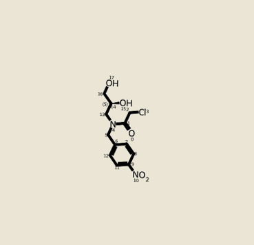 O=C(CCl)N(Cc1ccc([N+](=O)[O-])cc1)C[C@H](O)CO